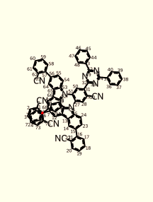 N#Cc1ccccc1-c1ccc2c(c1)c1cc(-c3ccccc3C#N)ccc1n2-c1cc(C#N)c(-c2nc(-c3ccccc3)nc(-c3ccccc3)n2)cc1-n1c2ccc(-c3ccccc3C#N)cc2c2cc(-c3ccccc3C#N)ccc21